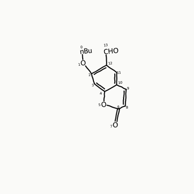 CCCCOc1cc2oc(=O)ccc2cc1C=O